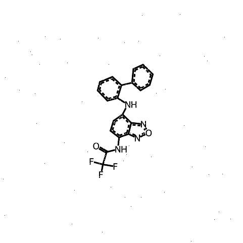 O=C(Nc1ccc(Nc2ccccc2-c2ccccc2)c2nonc12)C(F)(F)F